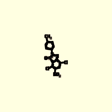 Cc1ccc(-n2nc3c(Cl)cc([N+](=O)[O-])c(Cl)c3[n+]2[O-])cc1